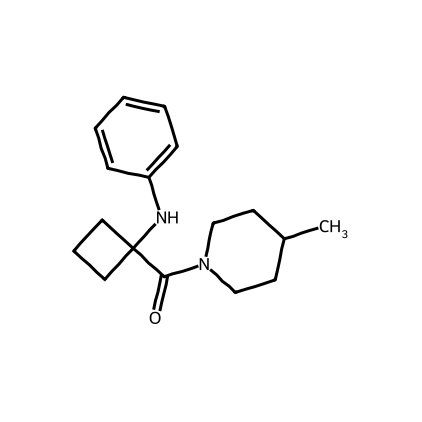 CC1CCN(C(=O)C2(Nc3ccccc3)CCC2)CC1